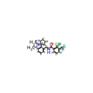 CCN(C)C1(c2ccccc2CNC(=O)c2cccc(C(F)(F)F)c2Cl)CCCC1